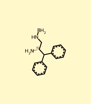 BNC[C@@H](N)C(c1ccccc1)c1ccccc1